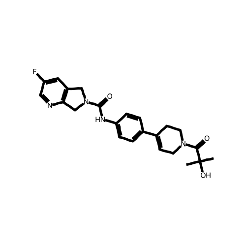 CC(C)(O)C(=O)N1CC=C(c2ccc(NC(=O)N3Cc4cc(F)cnc4C3)cc2)CC1